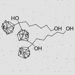 OCCCCCCC(O)([C]12[CH]3[CH]4[CH]5[CH]1[Fe]45321678[CH]2[CH]1[CH]6[CH]7[CH]28)[C]12[CH]3[CH]4[CH]5[CH]1[Fe]45321678[CH]2[CH]1[CH]6[C]7(C(O)(CCCCCCO)[C]13[CH]4[CH]5[CH]6[CH]1[Fe]5643179%10[CH]3[CH]1[CH]7[CH]9[CH]3%10)[CH]28